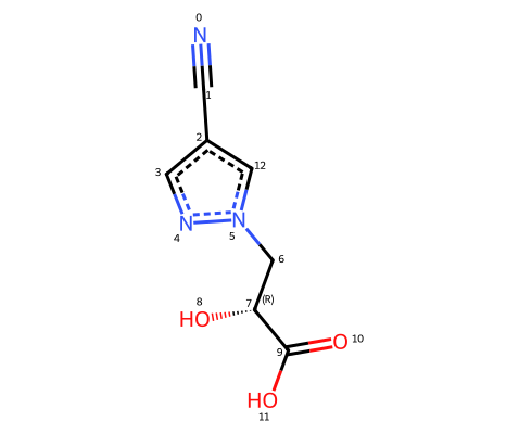 N#Cc1cnn(C[C@@H](O)C(=O)O)c1